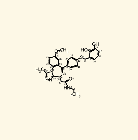 CCNC(=O)C[C@@H]1N=C(c2ccc(SCc3cccc(O)c3O)cc2)c2cc(OC)ccc2-n2c(C)nnc21